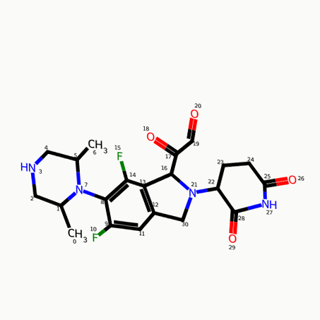 CC1CNCC(C)N1c1c(F)cc2c(c1F)C(C(=O)C=O)N(C1CCC(=O)NC1=O)C2